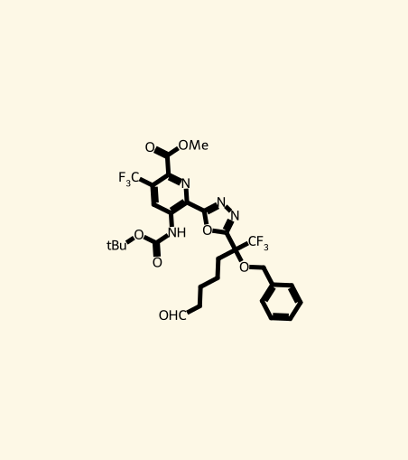 COC(=O)c1nc(-c2nnc(C(CCCCC=O)(OCc3ccccc3)C(F)(F)F)o2)c(NC(=O)OC(C)(C)C)cc1C(F)(F)F